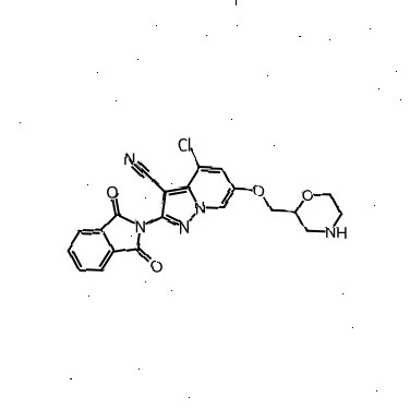 N#Cc1c(N2C(=O)c3ccccc3C2=O)nn2cc(OCC3CNCCO3)cc(Cl)c12